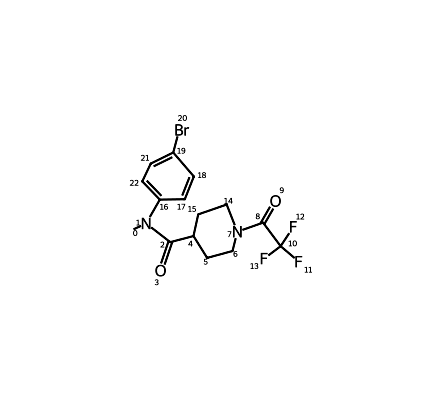 CN(C(=O)C1CCN(C(=O)C(F)(F)F)CC1)c1ccc(Br)cc1